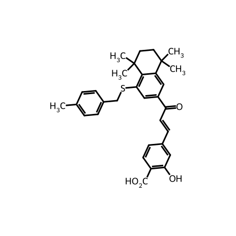 Cc1ccc(CSc2cc(C(=O)C=Cc3ccc(C(=O)O)c(O)c3)cc3c2C(C)(C)CCC3(C)C)cc1